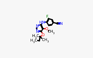 CCC(C)(C)Oc1ncnc(Nc2ccc(C#N)cc2F)c1OC